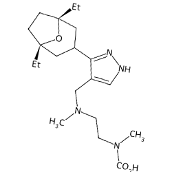 CC[C@]12CC[C@](CC)(CC(c3n[nH]cc3CN(C)CCN(C)C(=O)O)C1)O2